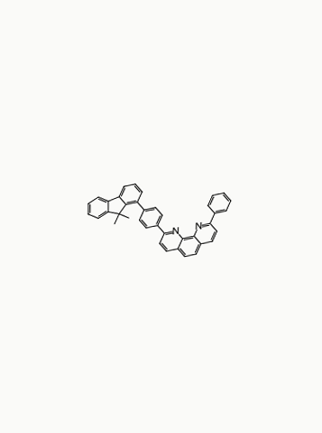 CC1(C)c2ccccc2-c2cccc(-c3ccc(-c4ccc5ccc6ccc(-c7ccccc7)nc6c5n4)cc3)c21